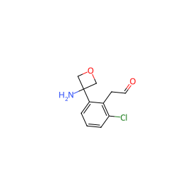 NC1(c2cccc(Cl)c2CC=O)COC1